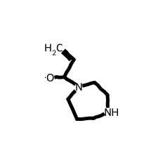 C=CC([O])N1CCCNCC1